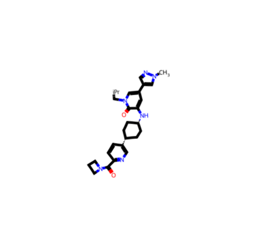 CC(C)Cn1cc(-c2cnn(C)c2)cc(N[C@H]2CC[C@@H](c3ccc(C(=O)N4CCC4)nc3)CC2)c1=O